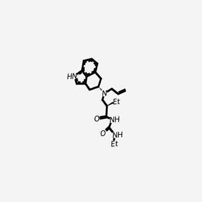 C=CCN(C[C@@H](CC)C(=O)NC(=O)NCC)[C@H]1Cc2cccc3[nH]cc(c23)C1